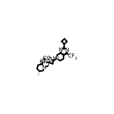 C[C@@H]1CCC(=O)N(C[C@]2(NC(=O)O)CC(N3CCc4c(nc(C5CCC5)nc4C(F)(F)F)C3)O2)C1